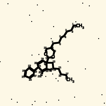 CCCCCCCCC1COC(C2(CCCCCC)C=CC(c3ccccc3)C(F)=C2F)OC1